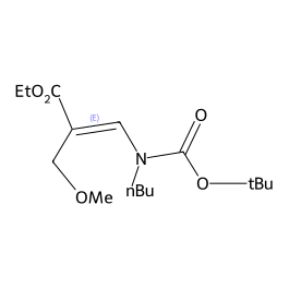 CCCCN(/C=C(\COC)C(=O)OCC)C(=O)OC(C)(C)C